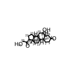 C[C@]12CCC(=O)C[C@@H]1[C@H](O)C[C@@H]1[C@@H]2CC[C@]2(C)[C@@H](C(=O)CO)CC[C@@H]12